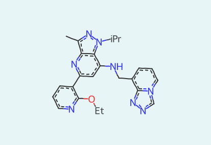 CCOc1ncccc1-c1cc(NCc2cccn3cnnc23)c2c(n1)c(C)nn2C(C)C